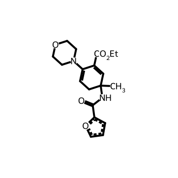 CCOC(=O)C1=CC(C)(NC(=O)c2ccco2)CC=C1N1CCOCC1